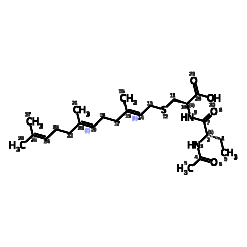 CC[C@H](NC(C)=O)C(=O)N[C@@H](CSC/C=C(\C)CC/C=C(\C)CCC=C(C)C)C(=O)O